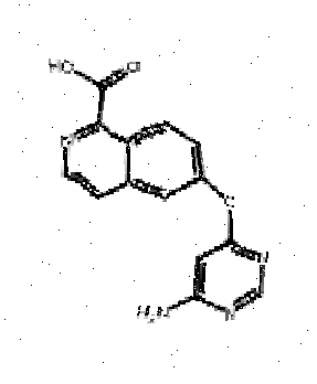 Nc1cc(Oc2ccc3c(C(=O)O)nccc3c2)ncn1